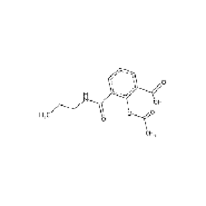 CCCNC(=O)c1cccc(C(=O)O)c1OC(C)=O